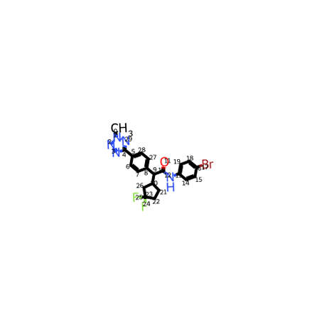 Cn1nnc(-c2ccc(C(C(=O)Nc3ccc(Br)cc3)C3CCC(F)(F)C3)cc2)n1